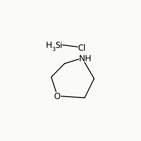 C1COCCN1.[SiH3]Cl